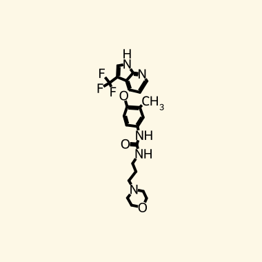 Cc1cc(NC(=O)NCCCN2CCOCC2)ccc1Oc1ccnc2[nH]cc(C(F)(F)F)c12